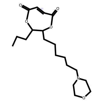 CCCC1OC(=O)/C=C/C(=O)OC1CCCCCCN1CCOCC1